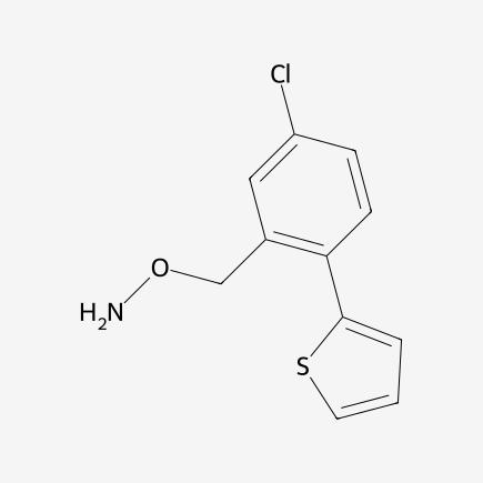 NOCc1cc(Cl)ccc1-c1cccs1